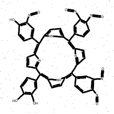 O=Nc1cc(-c2c3nc(c(-c4ccc(O)c(O)c4)c4ccc([nH]4)c(-c4ccc(N=O)c(N=O)c4)c4nc(c(-c5ccc(N=O)c(N=O)c5)c5ccc2[nH]5)C=C4)C=C3)ccc1O